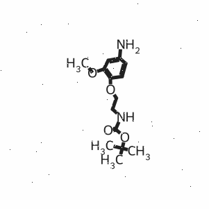 COc1cc(N)ccc1OCCNC(=O)OC(C)(C)C